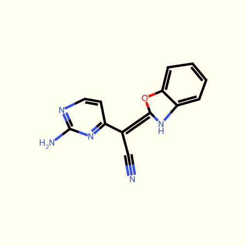 N#C/C(=C1\Nc2ccccc2O1)c1ccnc(N)n1